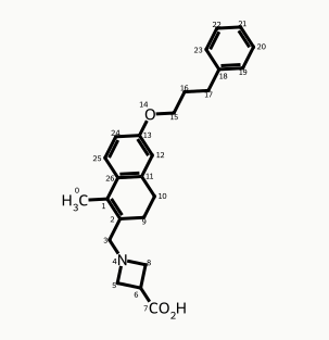 CC1=C(CN2CC(C(=O)O)C2)CCc2cc(OCCCc3ccccc3)ccc21